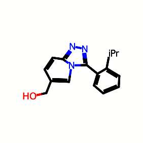 CC(C)c1ccccc1-c1nnc2ccc(CO)cn12